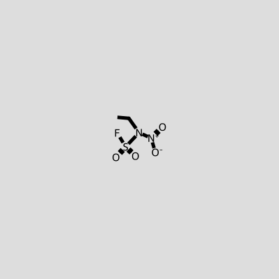 CCN([N+](=O)[O-])S(=O)(=O)F